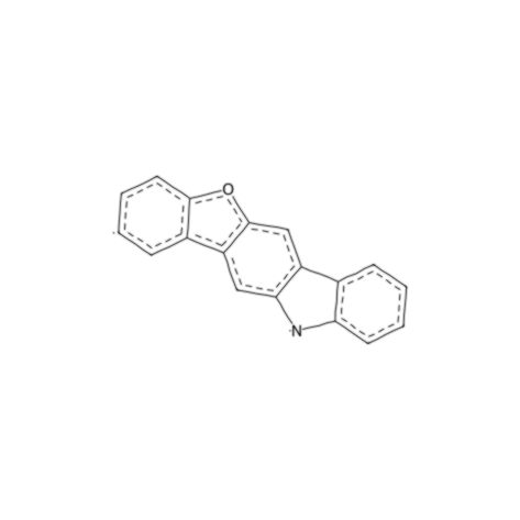 [c]1ccc2oc3cc4c(cc3c2c1)[N]c1ccccc1-4